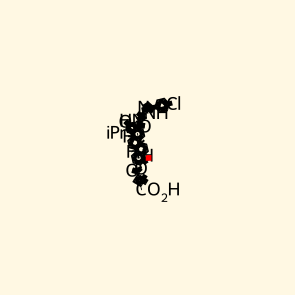 CC(C)C1=C2[C@H]3CC[C@@H]4[C@@]5(C)CC[C@H](OC(=O)[C@H]6C[C@@H](C(=O)O)C6(C)C)C(C)(C)[C@@H]5CC[C@@]4(C)[C@]3(C)CCC2(C(=O)NC(C)(C)c2ncc(-c3ccc(Cl)cc3)[nH]2)CC1=O